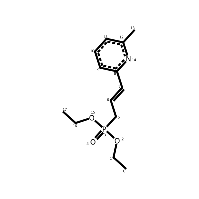 CCOP(=O)(C/C=C/c1cccc(C)n1)OCC